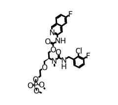 COP(=O)(OC)OCCOC[C@@H](COC(=O)Nc1cc2cc(F)ccc2cn1)N(C)C(=O)NCc1cccc(F)c1Cl